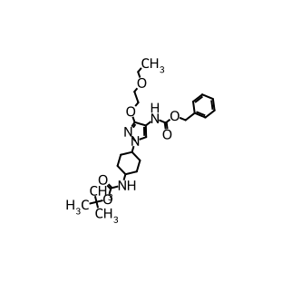 CCOCCOc1nn(C2CCC(NC(=O)OC(C)(C)C)CC2)cc1NC(=O)OCc1ccccc1